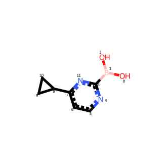 OB(O)c1nccc(C2CC2)n1